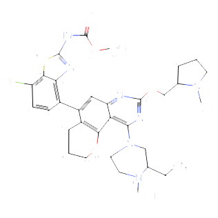 CN1CCCC1COc1nc(N2CCN(C(=O)O)C(CC#N)C2)c2c3c(c(-c4ccc(F)c5sc(NC(=O)OC(C)(C)C)nc45)cc2n1)CCCO3